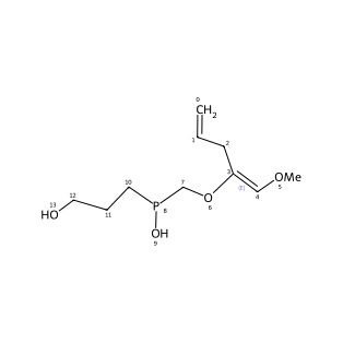 C=CC/C(=C\OC)OCP(O)CCCO